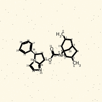 CC1CC2CC(C)CC(NC(=O)O[C@H]3C[C@H](c4ccccc4)n4ccnc43)(C1)C2